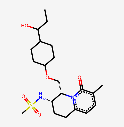 CCC(O)C1CCC(OC[C@H]2[C@@H](NS(C)(=O)=O)CCc3ccc(C)c(=O)n32)CC1